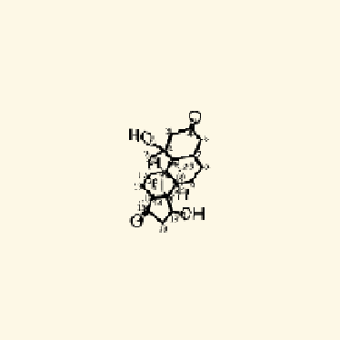 CC1(O)CC(=O)CC2CC[C@@H]3[C@@H](CC[C@]4(C)C(=O)CC(O)[C@@H]34)[C@]21C